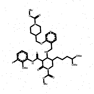 COc1c(F)cccc1NC(=S)C1C(=O)N(C(=O)OC(C)(C)C)CC(CCCC(OC)OC)C1NCc1ccncc1OCC1CCN(C(=O)OC(C)(C)C)CC1